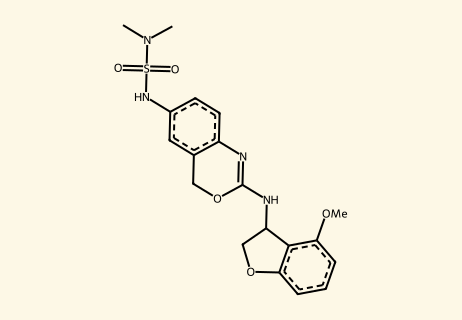 COc1cccc2c1C(NC1=Nc3ccc(NS(=O)(=O)N(C)C)cc3CO1)CO2